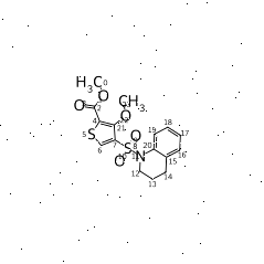 COC(=O)c1scc(S(=O)(=O)N2CCCc3ccccc32)c1OC